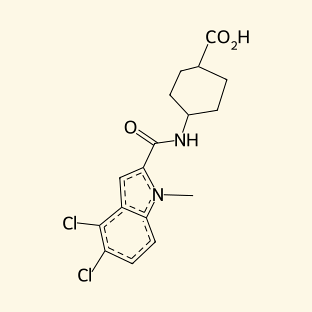 Cn1c(C(=O)NC2CCC(C(=O)O)CC2)cc2c(Cl)c(Cl)ccc21